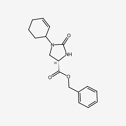 O=C(OCc1ccccc1)[C@@H]1CN(C2C=CCCC2)C(=O)N1